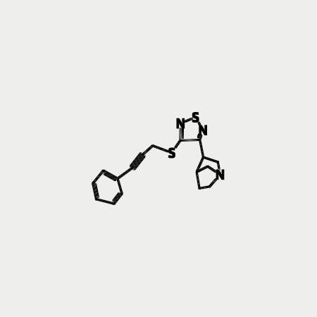 C(#Cc1ccccc1)CSc1nsnc1C1CN2CCC1C2